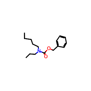 CCCCCN(CCC)C(=O)OCc1ccccc1